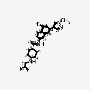 Cn1cc(-c2cc(F)c3cnc(NC(=O)[C@H]4CC[C@H](NCC(F)F)CC4)cc3c2)cn1